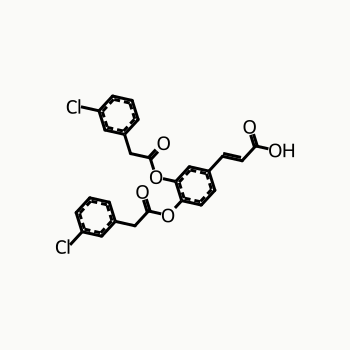 O=C(O)/C=C/c1ccc(OC(=O)Cc2cccc(Cl)c2)c(OC(=O)Cc2cccc(Cl)c2)c1